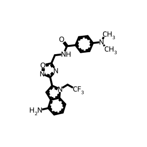 CN(C)c1ccc(C(=O)NCc2nc(-c3cc4c(N)cccc4n3CC(F)(F)F)no2)cc1